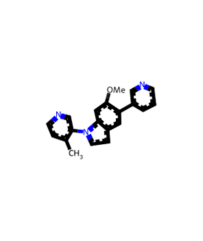 COc1cc2c(ccn2-c2cnccc2C)cc1-c1cccnc1